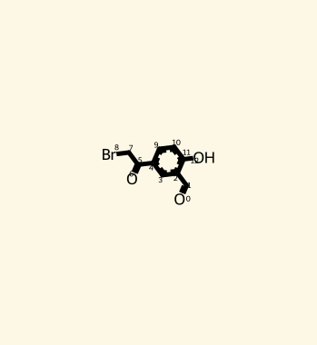 O=Cc1cc(C(=O)CBr)ccc1O